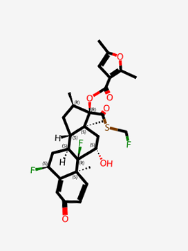 Cc1cc(C(=O)O[C@]2(C(=O)SCF)[C@H](C)C[C@H]3[C@@H]4C[C@H](F)C5=CC(=O)C=C[C@]5(C)[C@@]4(F)[C@@H](O)C[C@@]32C)c(C)o1